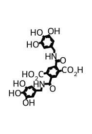 O=C(O)c1cc(C(=O)NCc2cc(O)c(O)c(O)c2)c(C(=O)O)cc1C(=O)NCc1cc(O)c(O)c(O)c1